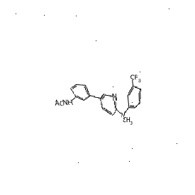 CC(=O)Nc1cccc(-c2ccc(N(C)c3cccc(C(F)(F)F)c3)nc2)c1